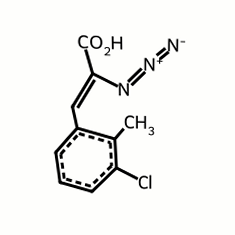 Cc1c(Cl)cccc1/C=C(\N=[N+]=[N-])C(=O)O